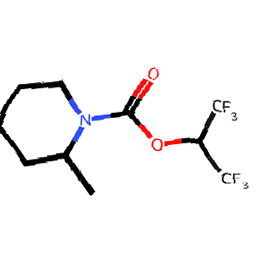 CC1CCCCN1C(=O)OC(C(F)(F)F)C(F)(F)F